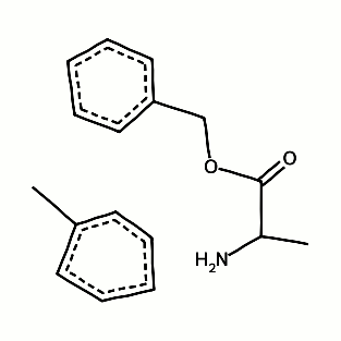 CC(N)C(=O)OCc1ccccc1.Cc1ccccc1